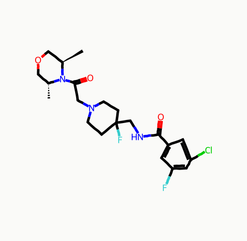 C[C@@H]1COC[C@@H](C)N1C(=O)CN1CCC(F)(CNC(=O)c2cc(F)cc(Cl)c2)CC1